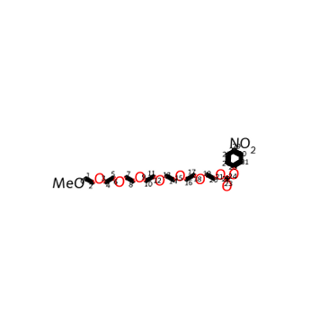 COCCOCCOCCOCCOCCOCCOCCOC(=O)Oc1ccc([N+](=O)[O-])cc1